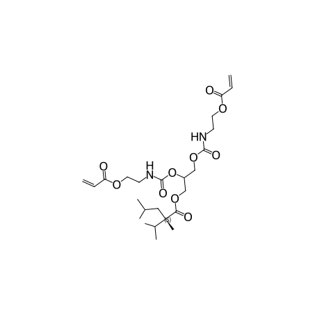 C=CC(=O)OCCNC(=O)OCC(COC(=O)[C@@](C)(CC(C)C)C(C)C)OC(=O)NCCOC(=O)C=C